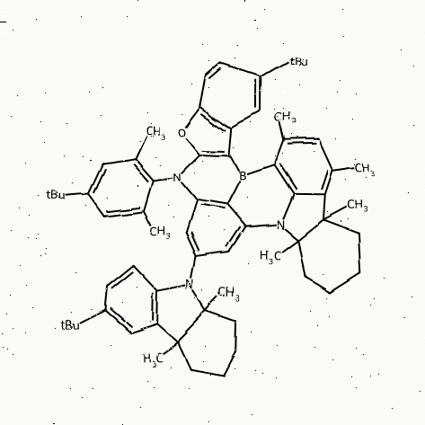 Cc1cc(C)c2c3c1B1c4c(cc(N5c6ccc(C(C)(C)C)cc6C6(C)CCCCC56C)cc4N3C3(C)CCCCC23C)N(c2c(C)cc(C(C)(C)C)cc2C)c2oc3ccc(C(C)(C)C)cc3c21